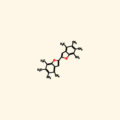 Cc1c(C)c(C)c2oc(-c3cc4c(C)c(C)c(C)c(C)c4o3)cc2c1C